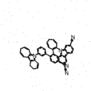 N#Cc1ccc(-c2cccc(-n3c4c(c5c3C=CCC5)C=CCC=C4)c2)c(C2=C(n3c4ccc(C#N)cc4c4ccc(C#N)cc43)C=CCC=C2)c1